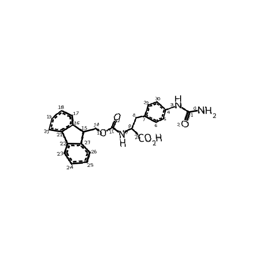 NC(=O)Nc1ccc(CC(NC(=O)OCC2c3ccccc3-c3ccccc32)C(=O)O)cc1